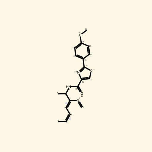 C=N/C(=C\C=C/C)C(C)NC(=O)c1csc(-c2ccc(OC)cc2)n1